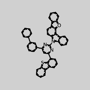 c1ccc(-c2cccc(-c3cc(-c4cccc5c4sc4ccccc45)nc(-n4c5ccccc5c5c6oc7ccccc7c6ccc54)n3)c2)cc1